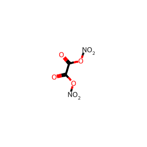 O=C(O[N+](=O)[O-])C(=O)O[N+](=O)[O-]